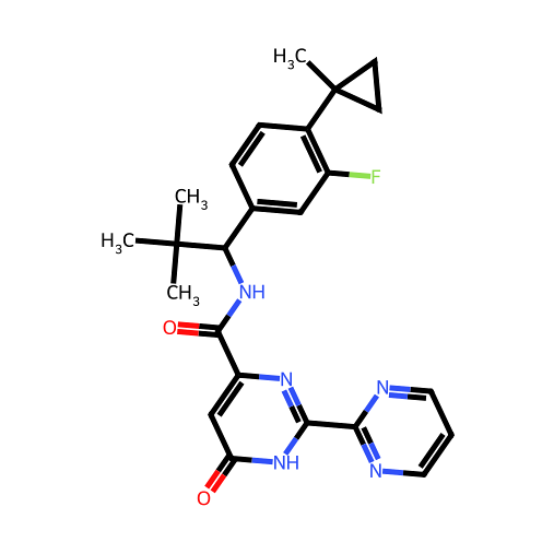 CC1(c2ccc(C(NC(=O)c3cc(=O)[nH]c(-c4ncccn4)n3)C(C)(C)C)cc2F)CC1